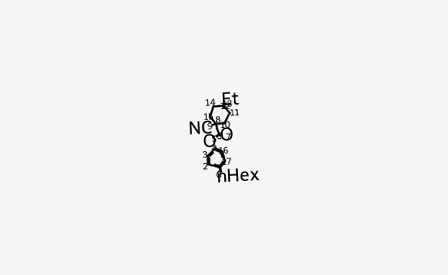 CCCCCCc1ccc(OC(=O)C2(C#N)CCC(CC)CC2)cc1